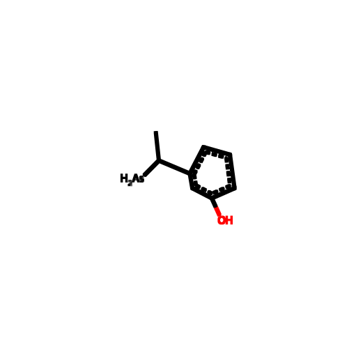 CC([AsH2])c1cccc(O)c1